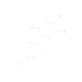 Nc1ccc(-c2cc(F)c(N)cc2N)cc1